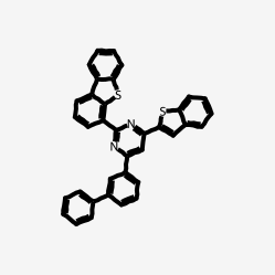 c1ccc(-c2cccc(-c3cc(-c4cc5ccccc5s4)nc(-c4cccc5c4sc4ccccc45)n3)c2)cc1